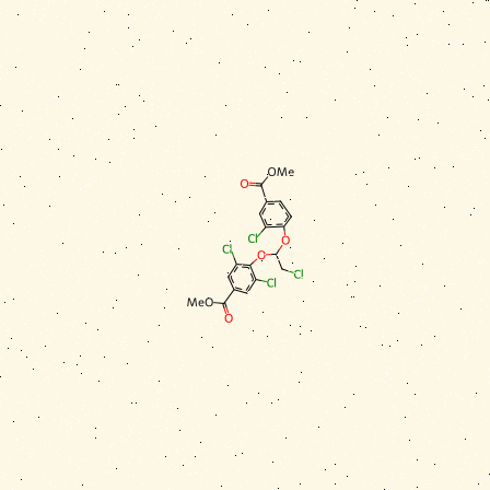 COC(=O)c1ccc(OC(CCl)Oc2c(Cl)cc(C(=O)OC)cc2Cl)c(Cl)c1